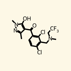 Cc1nn(C)c(O)c1C(=O)c1ccc(Cl)c(CN(C)CC(F)(F)F)c1Cl